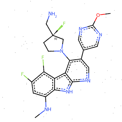 CNc1cc(F)c(F)c2c1[nH]c1ncc(-c3cnc(OC)nc3)c(N3CC[C@](F)(CN)C3)c12